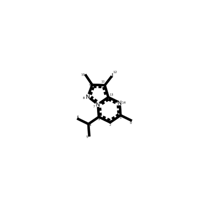 Cc1cc(C(C)C)n2nc(C)c(I)c2n1